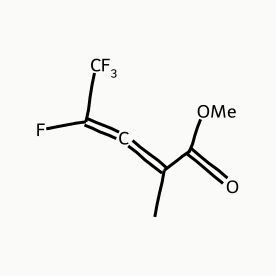 COC(=O)C(C)=C=C(F)C(F)(F)F